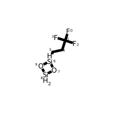 FC(F)(F)CC[SiH]1O[SiH2]O1